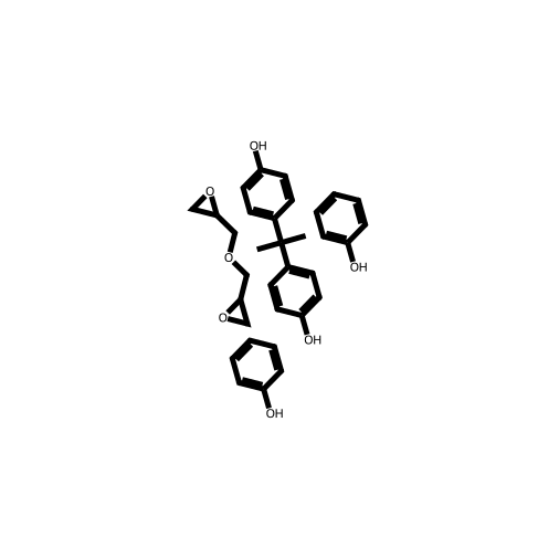 C(OCC1CO1)C1CO1.CC(C)(c1ccc(O)cc1)c1ccc(O)cc1.Oc1ccccc1.Oc1ccccc1